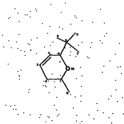 CC1CC=CC(C(C)(C)C)O1